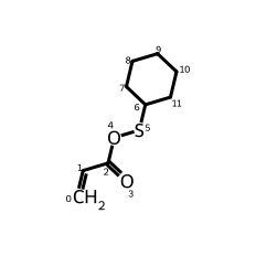 C=CC(=O)OSC1CCCCC1